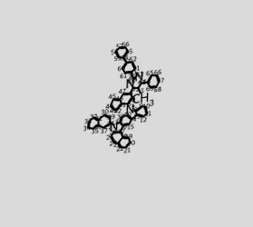 CCC1C(c2cc(-n3c4ccccc4c4cc5c6c7ccccc7ccc6n(-c6ccc7ccccc7c6)c5cc43)c3ccccc3c2)=NC(c2ccc(-c3ccccc3)cc2)=NC1c1ccccc1